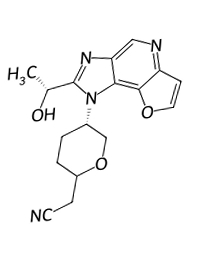 C[C@@H](O)c1nc2cnc3ccoc3c2n1[C@H]1CCC(CC#N)OC1